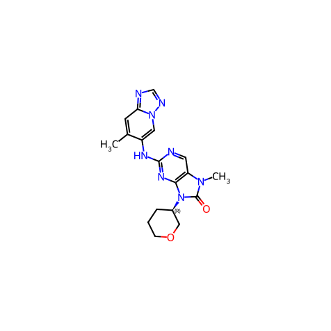 Cc1cc2ncnn2cc1Nc1ncc2c(n1)n([C@@H]1CCCOC1)c(=O)n2C